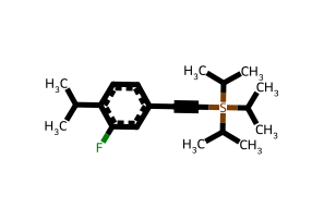 CC(C)c1ccc(C#CS(C(C)C)(C(C)C)C(C)C)cc1F